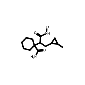 CCNC(=O)C(CC1CC1C)C1(C(N)=O)CCCCC1